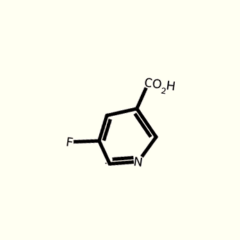 O=C(O)c1cn[c]c(F)c1